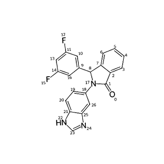 O=C1c2ccccc2C(c2cc(F)cc(F)c2)N1c1ccc2[nH]cnc2c1